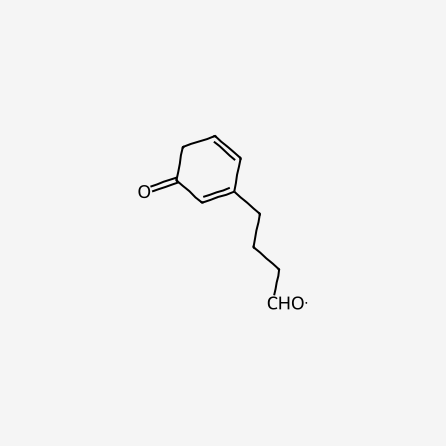 O=[C]CCCC1=CC(=O)CC=C1